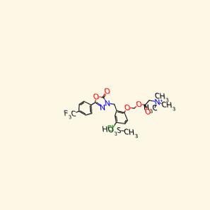 CS(=O)(=O)O.C[N+](C)(C)CC(=O)OCOc1ccc(Cl)cc1Cn1nc(-c2ccc(C(F)(F)F)cc2)oc1=O